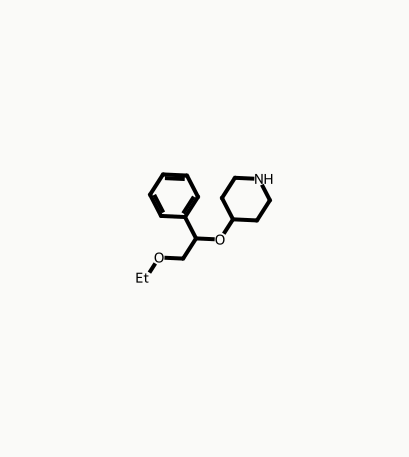 CCOCC(OC1CCNCC1)c1ccccc1